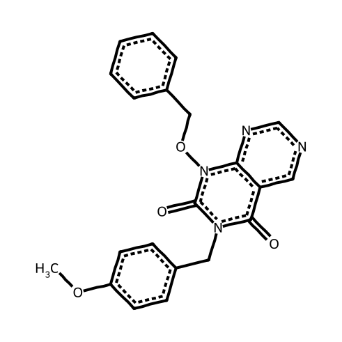 COc1ccc(Cn2c(=O)c3cncnc3n(OCc3ccccc3)c2=O)cc1